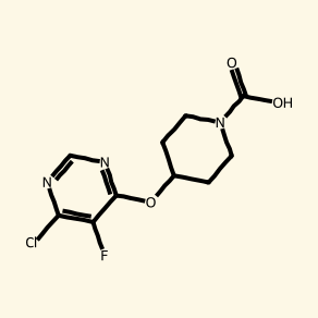 O=C(O)N1CCC(Oc2ncnc(Cl)c2F)CC1